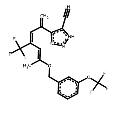 C=C(/C=C(\C=C(/C)OCc1cccc(OC(F)(F)F)c1)C(F)(F)F)c1nn[nH]c1C#N